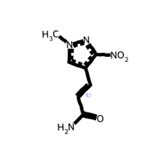 Cn1cc(/C=C/C(N)=O)c([N+](=O)[O-])n1